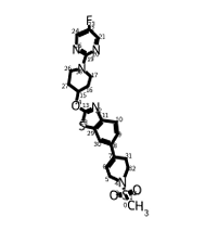 CS(=O)(=O)N1CC=C(c2ccc3nc(OC4CCN(c5ncc(F)cn5)CC4)sc3c2)CC1